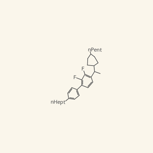 CCCCCCCc1ccc(-c2ccc(C(C)C3CCC(CCCCC)CC3)c(F)c2F)cc1